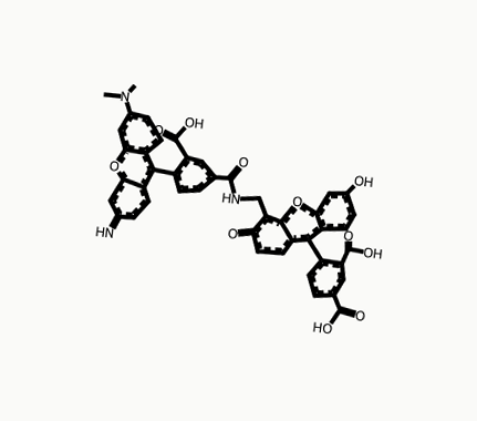 CN(C)c1ccc2c(-c3ccc(C(=O)NCc4c5oc6cc(O)ccc6c(-c6ccc(C(=O)O)cc6C(=O)O)c-5ccc4=O)cc3C(=O)O)c3ccc(=N)cc-3oc2c1